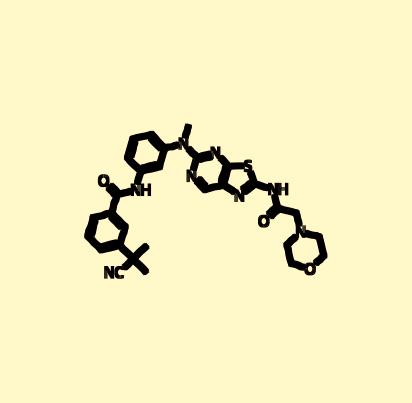 CN(c1cccc(NC(=O)c2cccc(C(C)(C)C#N)c2)c1)c1ncc2nc(NC(=O)CN3CCOCC3)sc2n1